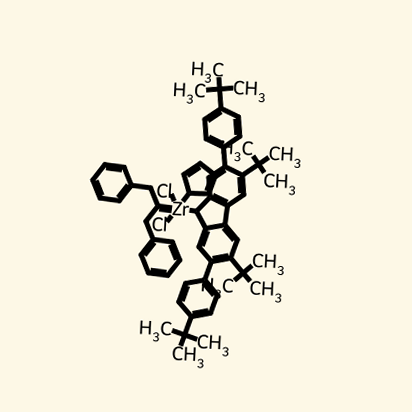 CC(C)(C)c1ccc(-c2cc3c(cc2C(C)(C)C)-c2cc(C(C)(C)C)c(-c4ccc(C(C)(C)C)cc4)cc2[CH]3[Zr]([Cl])([Cl])(=[C](Cc2ccccc2)Cc2ccccc2)[CH]2C=CC=C2)cc1